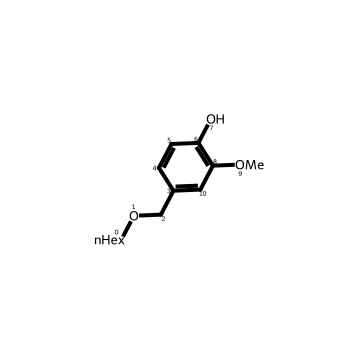 CCCCCCOCc1ccc(O)c(OC)c1